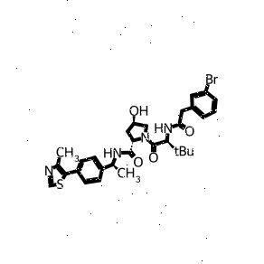 Cc1ncsc1-c1ccc([C@H](C)NC(=O)[C@@H]2C[C@@H](O)CN2C(=O)[C@@H](NC(=O)Cc2cccc(Br)c2)C(C)(C)C)cc1